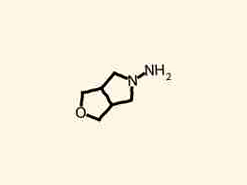 NN1CC2COCC2C1